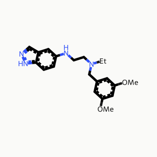 CCN(CCNc1ccc2[nH]ncc2c1)Cc1cc(OC)cc(OC)c1